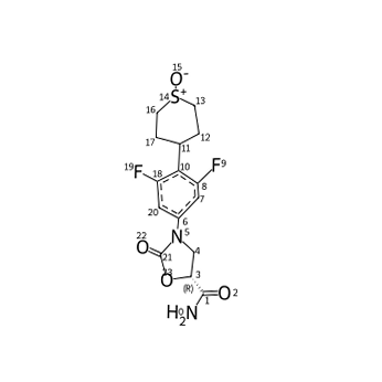 NC(=O)[C@H]1CN(c2cc(F)c(C3CC[S+]([O-])CC3)c(F)c2)C(=O)O1